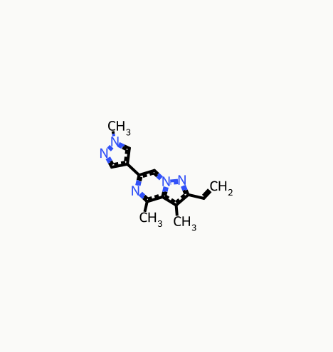 C=Cc1nn2cc(-c3cnn(C)c3)nc(C)c2c1C